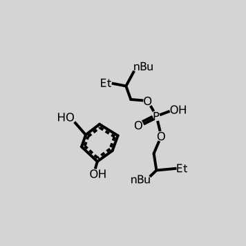 CCCCC(CC)COP(=O)(O)OCC(CC)CCCC.Oc1cccc(O)c1